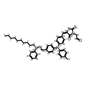 CCCCCCCCCCN(/N=C/c1ccc(N(c2ccc(C)cc2)c2ccc(/C=C3/SC(=S)N(CC=O)C3=O)cc2)cc1)c1ccccc1